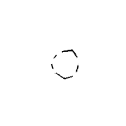 C1SSCSSS1